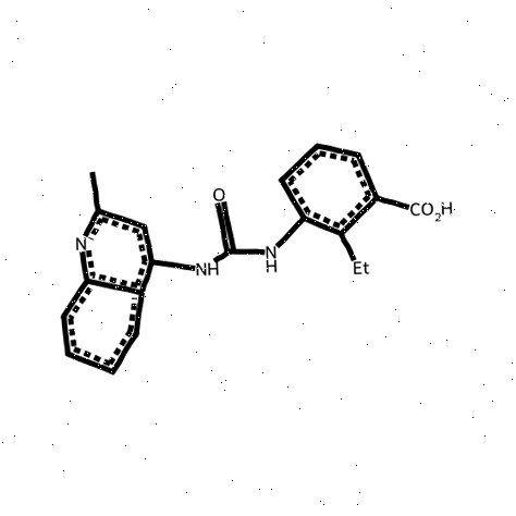 CCc1c(NC(=O)Nc2cc(C)nc3ccccc23)cccc1C(=O)O